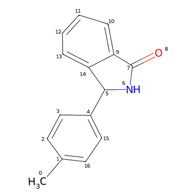 Cc1ccc(C2NC(=O)c3ccccc32)cc1